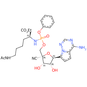 CCOC(=O)[C@H](CCCCNC(C)=O)NP(=O)(OC[C@@]1(C#N)O[C@@H](c2ccc3c(N)ncnn23)[C@H](O)[C@@H]1O)Oc1ccccc1